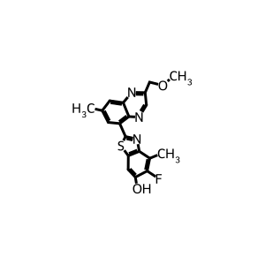 COCc1cnc2c(-c3nc4c(C)c(F)c(O)cc4s3)cc(C)cc2n1